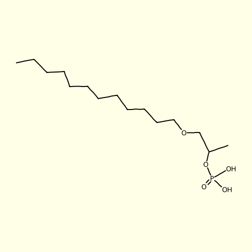 CCCCCCCCCCCCOCC(C)OP(=O)(O)O